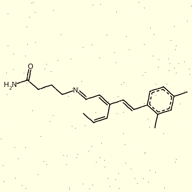 C\C=C/C(/C=C/c1ccc(C)cc1C)=C\C=N\CCCC(N)=O